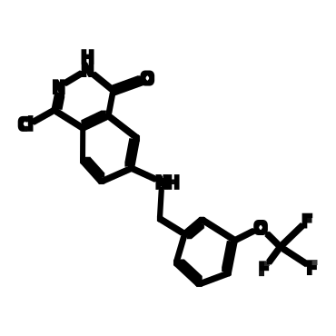 O=c1[nH]nc(Cl)c2ccc(NCc3cccc(OC(F)(F)F)c3)cc12